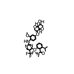 COc1cc(O[C@@H]2CO[C@H]3[C@@H]2OC[C@H]3O)ccc1Nc1ncc(C(F)(F)F)c(Oc2cccc(C(C)C)c2C(=O)N(C)C)n1